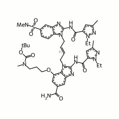 CCn1nc(C)cc1C(=O)Nc1nc2cc(S(=O)(=O)NC)ccc2n1C/C=C/Cn1c(NC(=O)c2cc(C)nn2CC)nc2cc(C(N)=O)cc(OCCCN(C)C(=O)OC(C)(C)C)c21